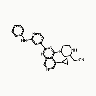 N#CCC1CN(c2nc(-c3ccnc(Nc4ccccc4)c3)nc3cncc(C4CC4)c23)CCN1